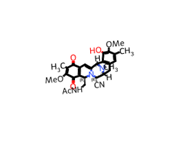 COC1=C(C)C(=O)C2=C(C1=O)[C@H](CNC(C)=O)N1C(=C2)[C@H]2c3c(cc(C)c(OC)c3O)C[C@H]([C@@H]1C#N)N2C